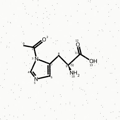 CC(=O)n1cncc1C[C@H](N)C(=O)O